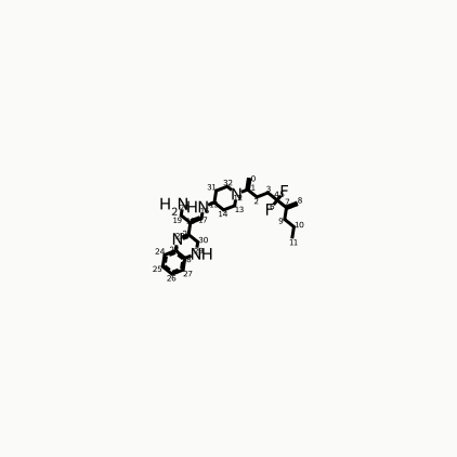 C=C(CCC(F)(F)C(=C)CCC)N1CCC(N/C=C(\CN)C2=Nc3ccccc3NC2)CC1